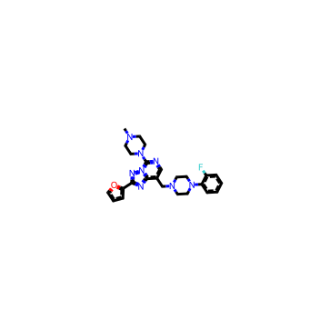 CN1CCN(c2ncc(CN3CCN(c4ccccc4F)CC3)c3nc(-c4ccco4)nn23)CC1